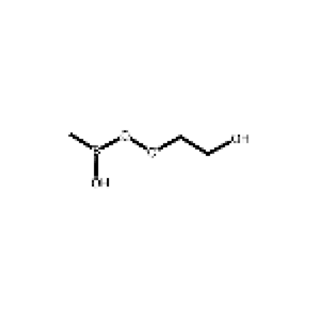 CB(O)OOCCO